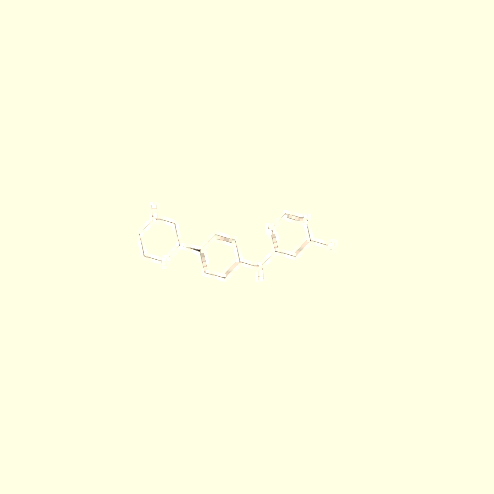 Clc1cc(Nc2ccc([C@@H]3CNCCO3)cc2)ncn1